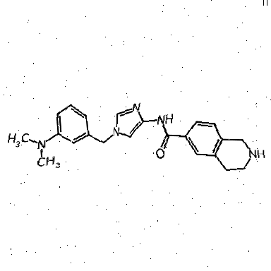 CN(C)c1cccc(Cn2cnc(NC(=O)c3ccc4c(c3)CCNC4)c2)c1